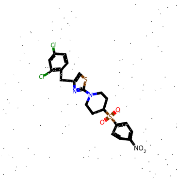 O=[N+]([O-])c1ccc(S(=O)(=O)C2CCN(c3nc(Cc4ccc(Cl)cc4Cl)cs3)CC2)cc1